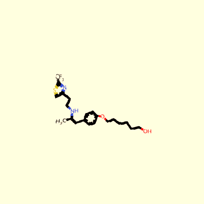 CC(Cc1ccc(OCCCCCCO)cc1)NCCc1csc(C(F)(F)F)n1